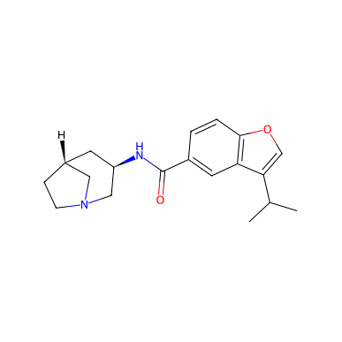 CC(C)c1coc2ccc(C(=O)N[C@@H]3C[C@H]4CCN(C4)C3)cc12